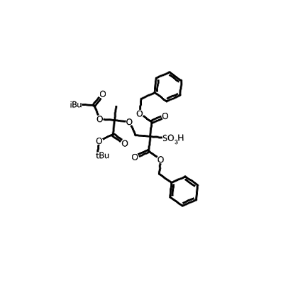 CCC(C)C(=O)OC(C)(OCC(C(=O)OCc1ccccc1)(C(=O)OCc1ccccc1)S(=O)(=O)O)C(=O)OC(C)(C)C